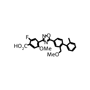 COCc1cc(-c2nc(-c3cc(F)c(C(=O)O)cc3OC)no2)ccc1-c1ccccc1C